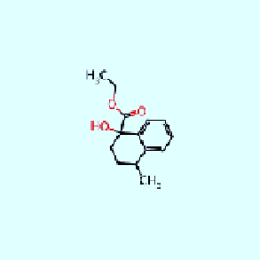 CCOC(=O)C1(O)CCC(C)c2ccccc21